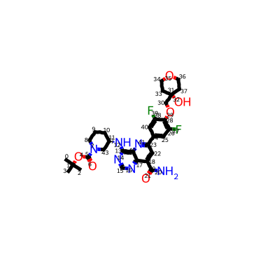 CC(C)(C)OC(=O)N1CCC[C@H](Nc2ncnc3c(C(N)=O)cc(-c4cc(F)c(OCC5(O)CCOCC5)c(F)c4)nc23)C1